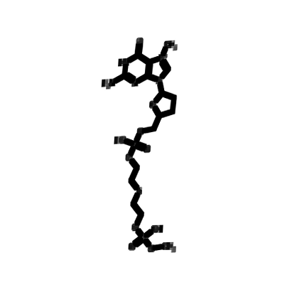 COP(=O)(O)OCCSCCOP(=O)(O)OCC1CCC(n2c[n+](C)c3c(=O)[nH]c(N)nc32)O1